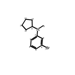 CN(c1cccc(Br)c1)C1CCCC1